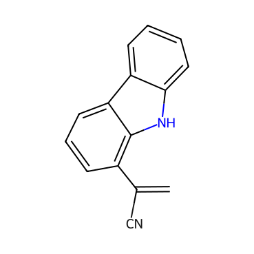 C=C(C#N)c1cccc2c1[nH]c1ccccc12